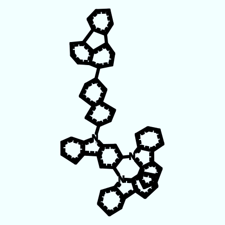 c1ccc2c(c1)-c1cccc3c(-c4ccc5cc(-n6c7ccccc7c7cc(-n8c9ccccc9c9ccccc98)c(-n8c9ccccc9c9ccccc98)cc76)ccc5c4)ccc-2c13